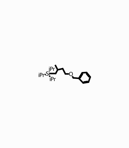 CC(CCOCc1ccccc1)C[Si](C(C)C)(C(C)C)C(C)C